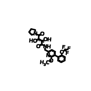 COc1nc(CNC(=O)[C@H](O)[C@@H](O)C(=O)N2CCCC2)ccc1-c1ccccc1OC(F)(F)F